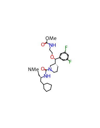 CNC[C@H](CC1CCCCC1)NC(=O)N1CCC[C@@H]([C@@H](OCCNC(=O)OC)c2cc(F)cc(F)c2)C1